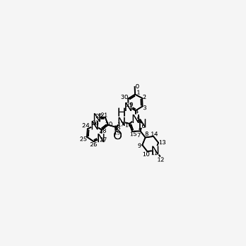 Cc1ccc(-n2nc(C3CCN(C)CC3)cc2NC(=O)c2cnn3cccnc23)nc1